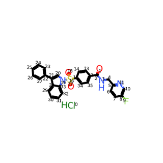 Cl.O=C(NCc1ccc(F)cn1)c1ccc(S(=O)(=O)n2cc(-c3ccccc3)c3ccccc32)cc1